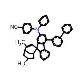 CC1=CC2(c3ccccc3-c3c(-c4cccc(-c5ccccc5)c4)cc(N(c4ccccc4)c4ccc(C#N)cc4)cc32)C2CC(C)CC1C2